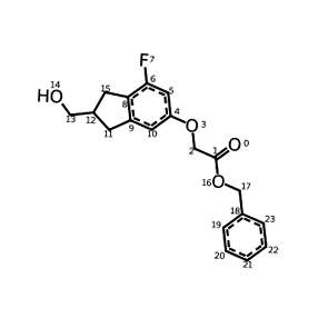 O=C(COc1cc(F)c2c(c1)CC(CO)C2)OCc1ccccc1